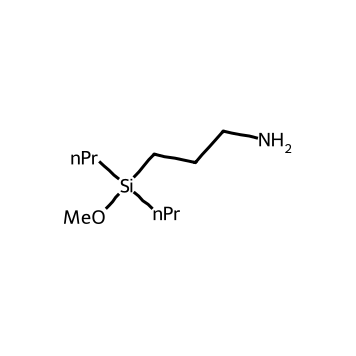 CCC[Si](CCC)(CCCN)OC